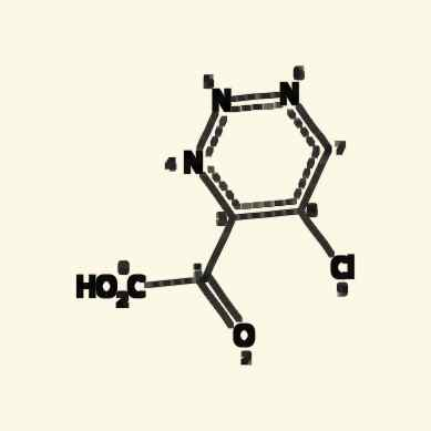 O=C(O)C(=O)c1nnncc1Cl